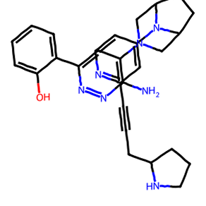 Nc1nnc(-c2ccccc2O)cc1N1CC2CCC(C1)N2c1ccnc(C#CCC2CCCN2)c1